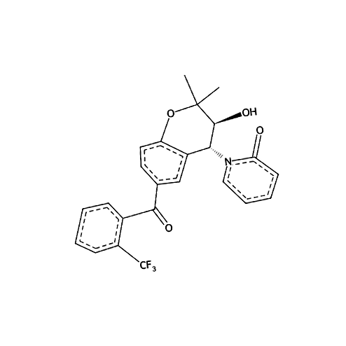 CC1(C)Oc2ccc(C(=O)c3ccccc3C(F)(F)F)cc2[C@@H](n2ccccc2=O)[C@@H]1O